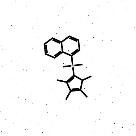 CC1=C(C)C(C)C([Si](C)(C)c2cccc3ccccc23)=C1C